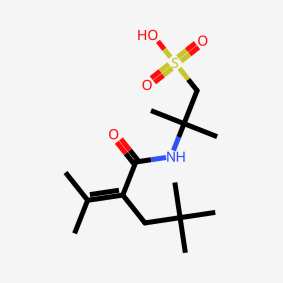 CC(C)=C(CC(C)(C)C)C(=O)NC(C)(C)CS(=O)(=O)O